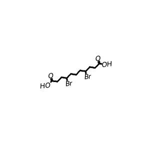 O=C(O)CCC(Br)CCCC(Br)CCC(=O)O